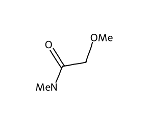 [CH2]NC(=O)COC